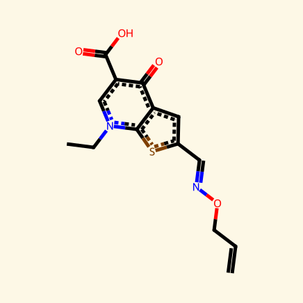 C=CCON=Cc1cc2c(=O)c(C(=O)O)cn(CC)c2s1